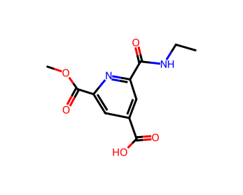 CCNC(=O)c1cc(C(=O)O)cc(C(=O)OC)n1